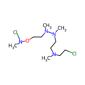 CN(CCCl)CCN(C)N(C)CCON(C)Cl